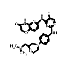 CN(C)CC1CN(c2ccc(Nc3ncc(F)c(Nc4ccc5c(n4)NC(=O)CO5)n3)cc2)CCO1